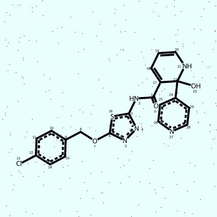 O=C(Nc1nnc(OCc2ccc(Cl)cc2)s1)C1=CC=CNC1(O)c1ccncc1